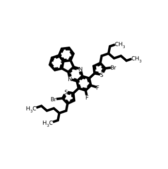 CCCCC(CC)Cc1cc(-c2c(F)c(F)c(-c3cc(CC(CC)CCCC)c(Br)s3)c3nc4c(nc23)-c2cccc3cccc-4c23)sc1Br